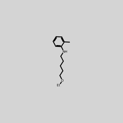 CCOCCCCCNc1ccccc1C